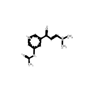 CC(=O)Oc1cncc(C(=O)C=CN(C)C)c1